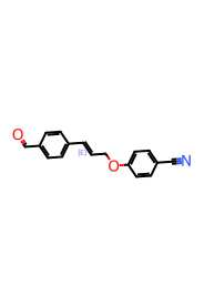 N#Cc1ccc(OC/C=C/c2ccc(C=O)cc2)cc1